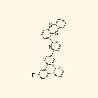 Fc1ccc2c3ccccc3c3cc(-c4cccc(-c5cccc6c5Sc5ccccc5S6)n4)ccc3c2c1